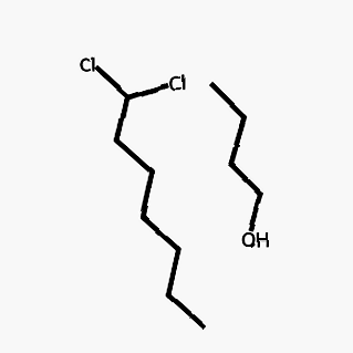 CCCCCCC(Cl)Cl.CCCCO